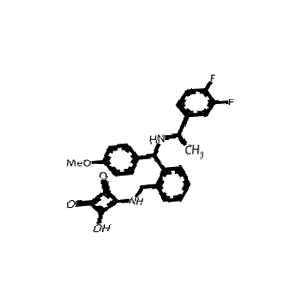 COc1ccc(C(NC(C)c2ccc(F)c(F)c2)c2ccccc2CNc2c(O)c(=O)c2=O)cc1